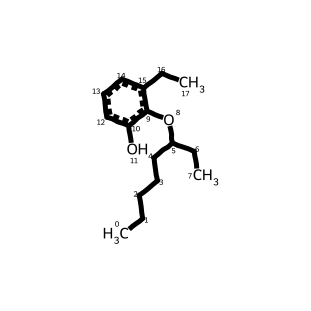 CCCCCC(CC)Oc1c(O)cccc1CC